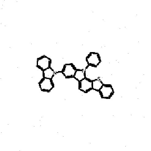 c1ccc(-n2c3ccc(-n4c5ccccc5c5ccccc54)cc3c3ccc4c5ccccc5sc4c32)cc1